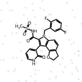 CS(=O)(=O)NC(=O)c1c(-c2ccc[nH]c2=O)c2c3c(ccc2n1Cc1cc(F)ccc1F)CCO3